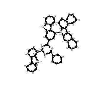 c1ccc(-c2nc(-c3cc(-n4c5cc6ccccc6cc5c5c6ccccc6ccc54)c4c(c3)oc3ccccc34)nc(-c3cccc4c3oc3ccccc34)n2)cc1